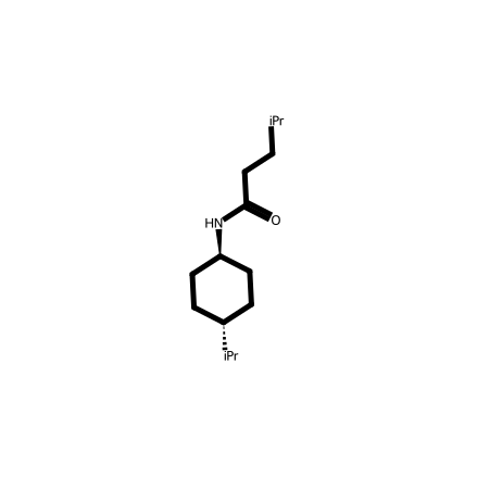 CC(C)CCC(=O)N[C@H]1CC[C@H](C(C)C)CC1